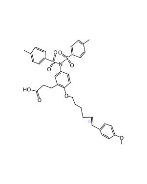 COc1ccc(/C=C/CCCCOc2ccc(N(S(=O)(=O)c3ccc(C)cc3)S(=O)(=O)c3ccc(C)cc3)cc2CCC(=O)O)cc1